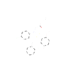 CCOC(=O)CN(c1ccc(Cl)cc1Cc1ccccc1Cl)S(=O)(=O)c1cc(OC)ccc1OC